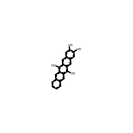 CCCc1cc2cc3c(O)c4cc5ccccc5cc4c(O)c3cc2cc1CCC